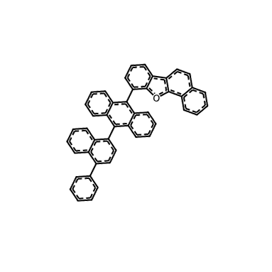 c1ccc(-c2ccc(-c3c4ccccc4c(-c4cccc5c4oc4c6ccccc6ccc54)c4ccccc34)c3ccccc23)cc1